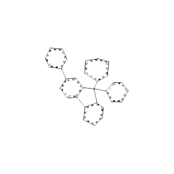 [c]1ccc2c(c1)C(c1ccccc1)(c1ccccc1)c1cc(-c3ccccc3)ccc1-2